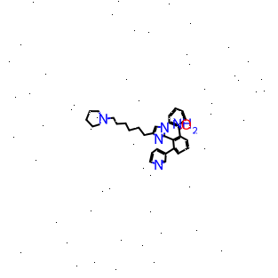 NC(=O)c1cccc(-c2cccnc2)c1-c1nc(CCCCCCN2CCCCC2)cn1-c1ccccc1